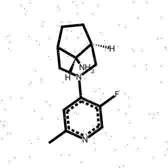 Cc1cc(N2CC3CC[C@@H](C2)[C@@H]3N)c(F)cn1